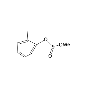 COS(=O)Oc1ccccc1C